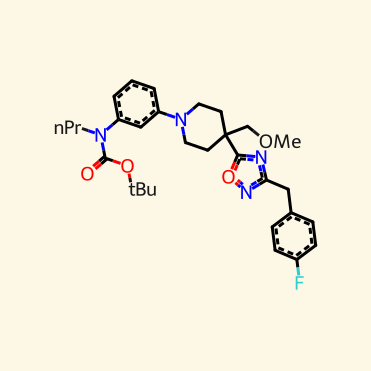 CCCN(C(=O)OC(C)(C)C)c1cccc(N2CCC(COC)(c3nc(Cc4ccc(F)cc4)no3)CC2)c1